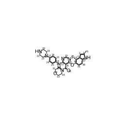 Cc1cc2c(F)c(Oc3ncnc(Nc4ccc(N5CCNCC5)cc4)c3C(=O)N3CCOCC3)ccc2[nH]1